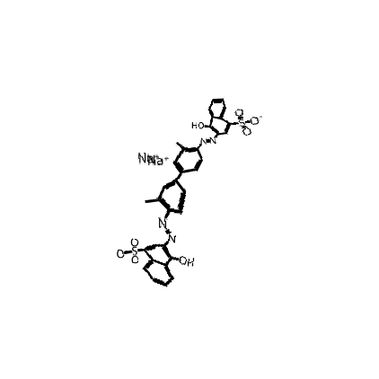 Cc1cc(-c2ccc(N=Nc3cc(S(=O)(=O)[O-])c4ccccc4c3O)c(C)c2)ccc1N=Nc1cc(S(=O)(=O)[O-])c2ccccc2c1O.[Na+].[Na+]